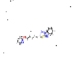 c1ccc(OCCCCCCSc2nc3ccccc3[nH]2)nc1